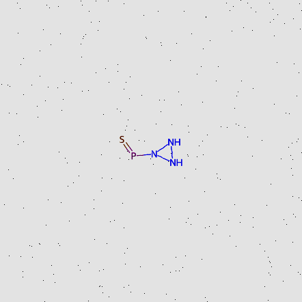 S=Pn1[nH][nH]1